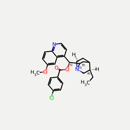 CC[C@H]1C[N@@]2CCC1C[C@@H]2[C@@H](OC(=O)c1ccc(Cl)cc1)c1ccnc2ccc(OC)cc12